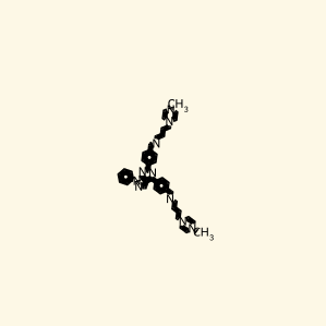 CN1CCN(CCCCN=Cc2ccc(-c3nc(-c4ccc(C=NCCCCN5CCN(C)CC5)cc4)c4cnn(-c5ccccc5)c4n3)cc2)CC1